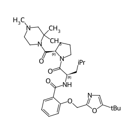 CC(C)C[C@@H](NC(=O)c1ccccc1OCc1ncc(C(C)(C)C)o1)C(=O)N1CCC[C@@H]1C(=O)N1CCN(C)CC1(C)C